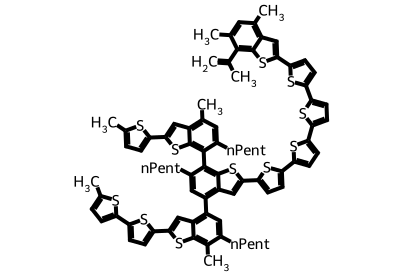 C=C(C)c1c(C)cc(C)c2cc(-c3ccc(-c4ccc(-c5ccc(-c6ccc(-c7cc8c(-c9cc(CCCCC)c(C)c%10sc(-c%11ccc(-c%12ccc(C)s%12)s%11)cc9%10)cc(CCCCC)c(-c9c(CCCCC)cc(C)c%10cc(-c%11ccc(C)s%11)sc9%10)c8s7)s6)s5)s4)s3)sc12